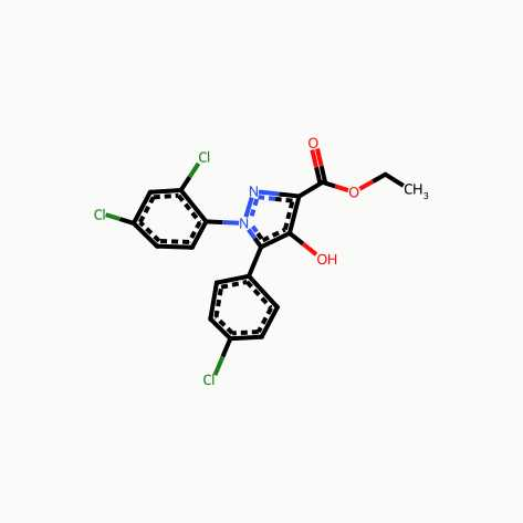 CCOC(=O)c1nn(-c2ccc(Cl)cc2Cl)c(-c2ccc(Cl)cc2)c1O